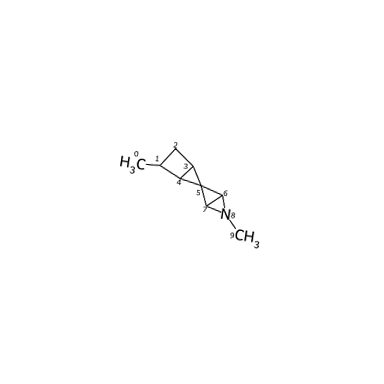 CC1CC2C1C21C2C1N2C